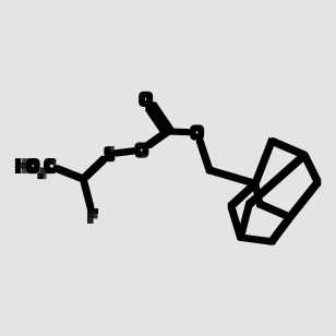 O=C(OCC12CC3CC(CC(C3)C1)C2)OSC(F)C(=O)O